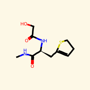 CNC(=O)[C@H](CC1=CCCS1)NC(=O)CO